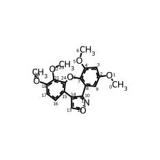 COc1cc(OC)c2c(c1)-c1nocc1-c1ccc(OC)c(OC)c1O2